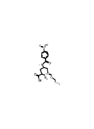 CCOCOCC(CC(C)C(=O)O)NC(=O)c1ccc([N+](=O)[O-])cc1